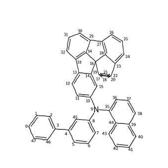 c1ccc(-c2cccc(N(c3ccc4c(c3)C35c6ccccc6-c6cccc(c63)-c3cccc-4c35)c3cccc4ccccc34)c2)cc1